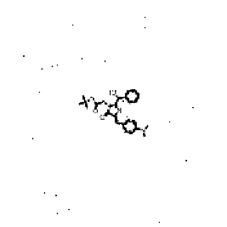 CN(C)c1ccc(/C=C2\N=C(C(O)c3ccccc3)N(CC(=O)OC(C)(C)C)C2=O)cc1